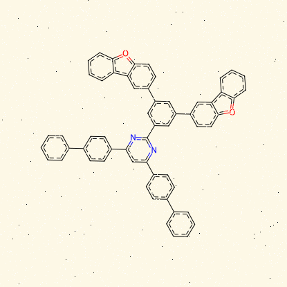 c1ccc(-c2ccc(-c3cc(-c4ccc(-c5ccccc5)cc4)nc(-c4cc(-c5ccc6oc7ccccc7c6c5)cc(-c5ccc6oc7ccccc7c6c5)c4)n3)cc2)cc1